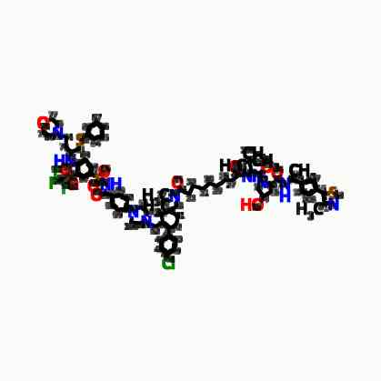 Cc1ncsc1-c1ccc([C@H](C)NC(=O)[C@@H]2C[C@@H](O)CN2C(=O)C(NC(=O)CCCCCCCC(=O)N(C)CC2(C)CCC(c3ccc(Cl)cc3)=C(CN3CCN(c4ccc(C(=O)NS(=O)(=O)c5ccc(NC(CCN6CCOCC6)CSc6ccccc6)c(S(=O)(=O)C(F)(F)F)c5)cc4)CC3)C2)C(C)(C)C)cc1